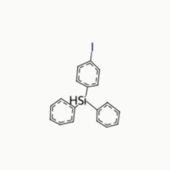 Ic1ccc([SiH](c2ccccc2)c2ccccc2)cc1